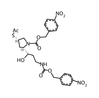 CC(=O)S[C@H]1C[C@@H](C(O)CCNC(=O)OCc2ccc([N+](=O)[O-])cc2)N(C(=O)OCc2ccc([N+](=O)[O-])cc2)C1